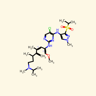 C=C(/C(C)=C\C(=C\OC)Nc1ncc(Cl)c(Nc2cn(C)nc2S(=O)(=O)C(C)C)n1)C(C)CCN(C)C(C)C